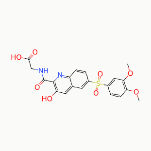 COc1ccc(S(=O)(=O)c2ccc3nc(C(=O)NCC(=O)O)c(O)cc3c2)cc1OC